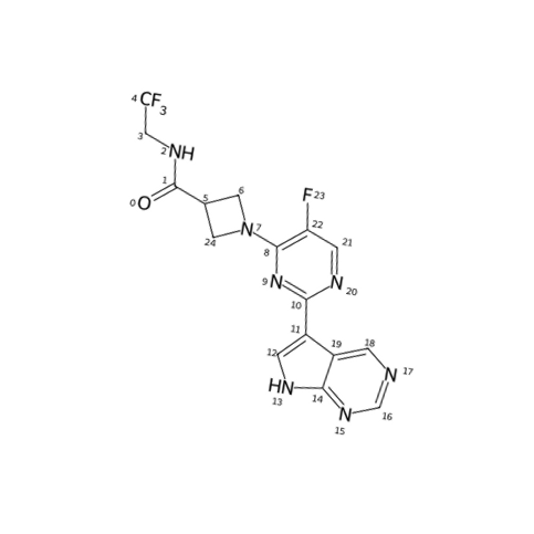 O=C(NCC(F)(F)F)C1CN(c2nc(-c3c[nH]c4ncncc34)ncc2F)C1